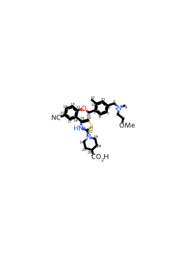 COCCN(C)Cc1ccc(COc2ccc(C#N)cc2C2=CSC(N3CCC(C(=O)O)CC3)N2)c(C)c1